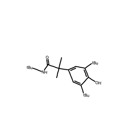 CC(C)(C)NC(=O)C(C)(C)c1cc(C(C)(C)C)c(O)c(C(C)(C)C)c1